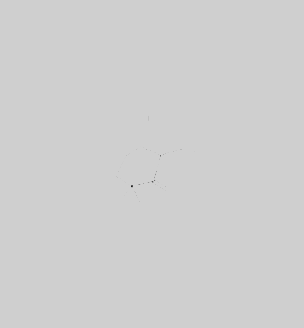 CC1C(=O)C(C)(C)CCC1O